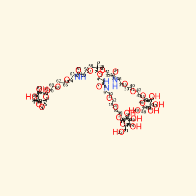 CC(COCCC(=O)NCCOCCOCCO[C@H]1OC(CO)[C@@H](O)C(O)[C@H]1O)(COCCC(=O)NCCOCCOCCO[C@H]1OC(CO)[C@@H](O)C(O)[C@H]1O)COCCC(=O)NCCOCCOCCO[C@H]1OC2COO[C@H]2C(O)[C@H]1O